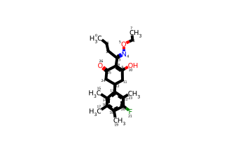 CCC/C(=N\OCC)C1=C(O)CC(c2c(C)c(C)c(C)c(F)c2C)CC1=O